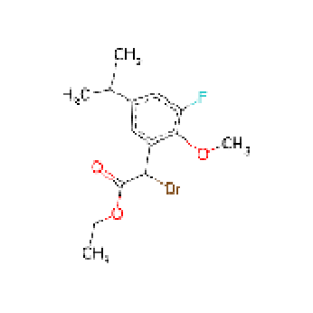 CCOC(=O)C(Br)c1cc(C(C)C)cc(F)c1OC